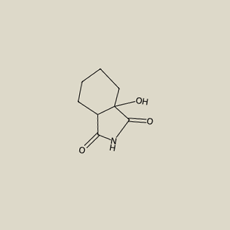 O=C1NC(=O)C2(O)CCCCC12